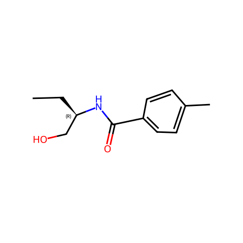 CC[C@H](CO)NC(=O)c1ccc(C)cc1